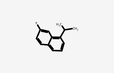 CC(C)c1cccc2ccc(F)cc12